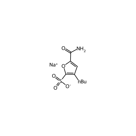 CCCCc1cc(C(N)=O)oc1S(=O)(=O)[O-].[Na+]